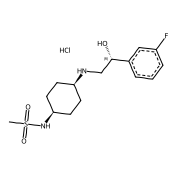 CS(=O)(=O)N[C@H]1CC[C@@H](NC[C@H](O)c2cccc(F)c2)CC1.Cl